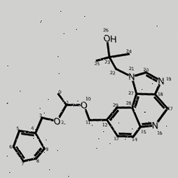 CC(OCc1ccccc1)OCc1ccc2ncc3ncn(CC(C)(C)O)c3c2c1